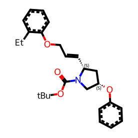 CCc1ccccc1OCC=C[C@@H]1C[C@H](Oc2ccccc2)CN1C(=O)OC(C)(C)C